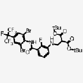 CC(C)(C)OC(=O)C(CNc1cccc(C(=O)Nc2c(Br)cc(C(F)(C(F)(F)F)C(F)(F)F)cc2Br)c1F)C(=O)OC(C)(C)C